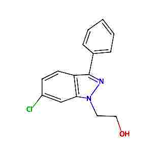 OCCn1nc(-c2ccccc2)c2ccc(Cl)cc21